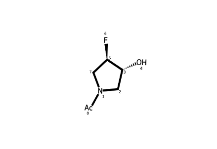 CC(=O)N1C[C@@H](O)[C@H](F)C1